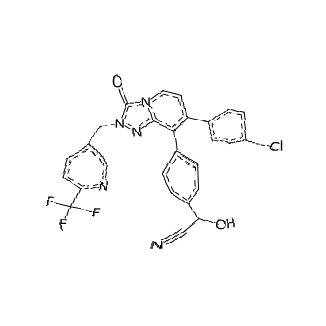 N#CC(O)c1ccc(-c2c(-c3ccc(Cl)cc3)ccn3c(=O)n(Cc4ccc(C(F)(F)F)nc4)nc23)cc1